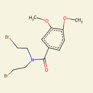 COc1ccc(C(=O)N(CCBr)CCBr)cc1OC